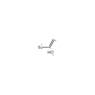 C=[CH][Eu].Cl